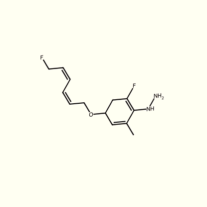 CC1=CC(OC/C=C\C=C/CF)CC(F)=C1NN